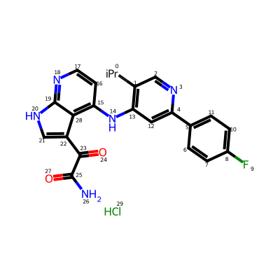 CC(C)c1cnc(-c2ccc(F)cc2)cc1Nc1ccnc2[nH]cc(C(=O)C(N)=O)c12.Cl